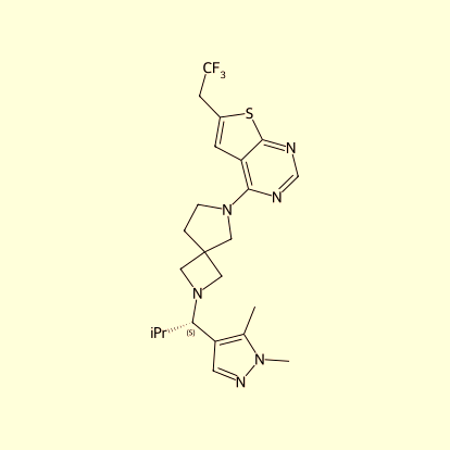 Cc1c([C@H](C(C)C)N2CC3(CCN(c4ncnc5sc(CC(F)(F)F)cc45)C3)C2)cnn1C